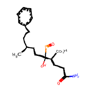 CC(CCc1ccccc1)CCC(O)(P=O)C(CCC(N)=O)C(=O)O